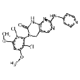 COc1cc(OC)c(Cl)c(N2Cc3cnc(Nc4ccncc4)nc3NC2=O)c1Cl